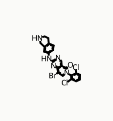 O=c1c2cnc(Nc3ccc4c(c3)CNCC4)nc2c(Br)cn1-c1c(Cl)cccc1Cl